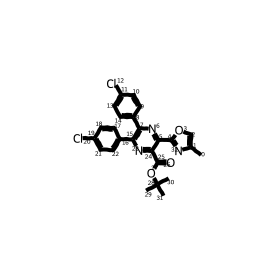 Cc1coc(-c2nc(-c3ccc(Cl)cc3)c(-c3ccc(Cl)cc3)nc2C(=O)OC(C)(C)C)n1